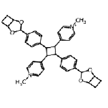 C[n+]1ccc(C2C(c3ccc(C4OC5CCC5O4)cc3)C(c3cc[n+](C)cc3)C2c2ccc(C3OC4CCC4O3)cc2)cc1